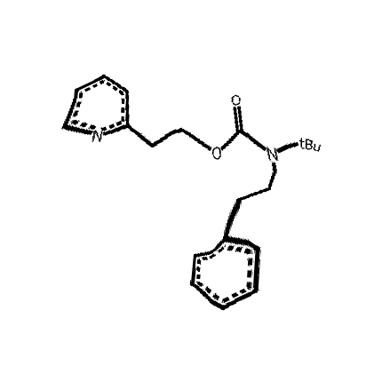 CC(C)(C)N(CCc1ccccc1)C(=O)OCCc1ccccn1